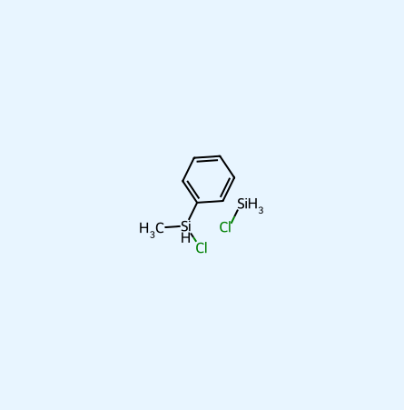 C[SiH](Cl)c1ccccc1.[SiH3]Cl